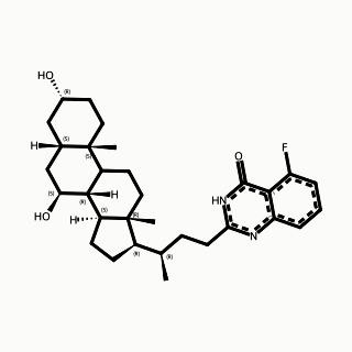 C[C@H](CCc1nc2cccc(F)c2c(=O)[nH]1)[C@H]1CC[C@H]2[C@H]3C(CC[C@]12C)[C@@]1(C)CC[C@@H](O)C[C@H]1C[C@@H]3O